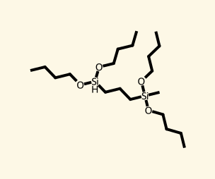 CCCCO[SiH](CCC[Si](C)(OCCCC)OCCCC)OCCCC